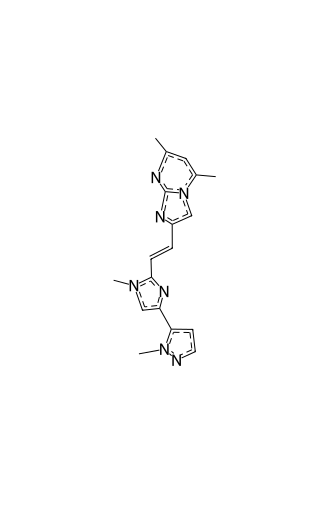 Cc1cc(C)n2cc(C=Cc3nc(-c4ccnn4C)cn3C)nc2n1